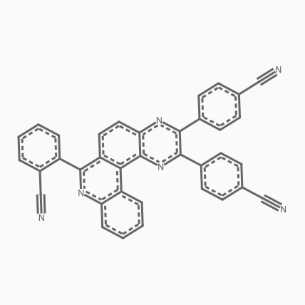 N#Cc1ccc(-c2nc3ccc4c(-c5ccccc5C#N)nc5ccccc5c4c3nc2-c2ccc(C#N)cc2)cc1